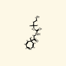 CC(C)CCC(C)(C)OC(=O)NCC(=O)C1(C)C=CC=NC=C1